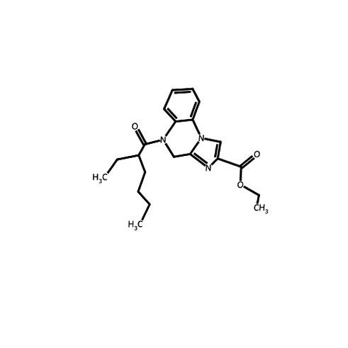 CCCCC(CC)C(=O)N1Cc2nc(C(=O)OCC)cn2-c2ccccc21